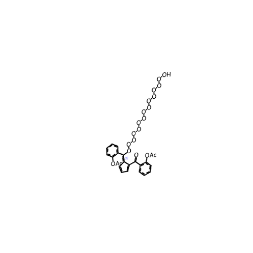 CC(=O)Oc1ccccc1C(=O)C1=CC=C/C1=C(/OOOOOOOOOOOOOOO)c1ccccc1OC(C)=O